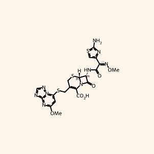 CO/N=C(\C(=O)N[C@@H]1C(=O)N2C(C(=O)O)=C(CSc3cc(OC)nc4ncnn34)CS[C@H]12)c1csc(N)n1